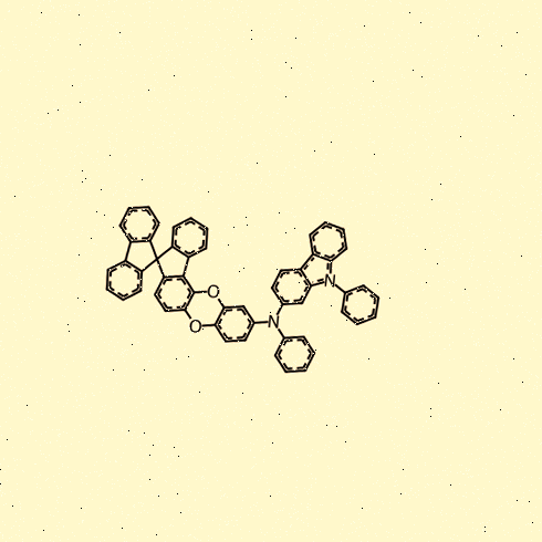 c1ccc(N(c2ccc3c(c2)Oc2c(ccc4c2-c2ccccc2C42c4ccccc4-c4ccccc42)O3)c2ccc3c4ccccc4n(-c4ccccc4)c3c2)cc1